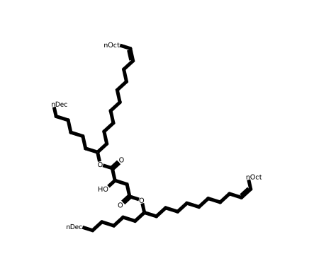 CCCCCCCC/C=C\CCCCCCCCC(CCCCCCCCCCCCCCC)OC(=O)CC(O)C(=O)OC(CCCCCCCC/C=C\CCCCCCCC)CCCCCCCCCCCCCCC